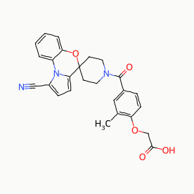 Cc1cc(C(=O)N2CCC3(CC2)Oc2ccccc2-n2c(C#N)ccc23)ccc1OCC(=O)O